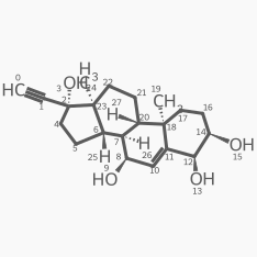 C#C[C@]1(O)CC[C@H]2[C@@H]3[C@H](O)C=C4[C@H](O)[C@H](O)CC[C@]4(C)[C@H]3CC[C@@]21C